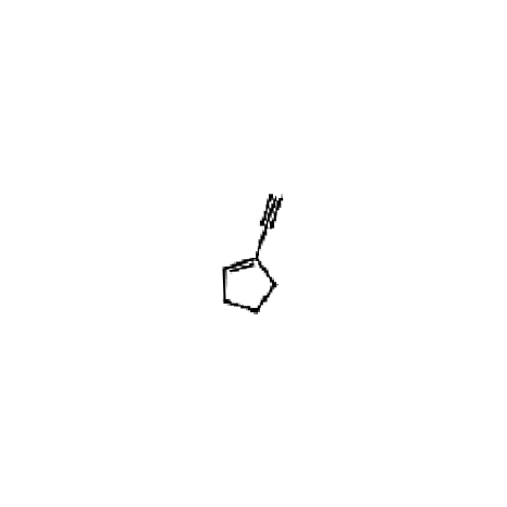 [C]#CC1=CCCC1